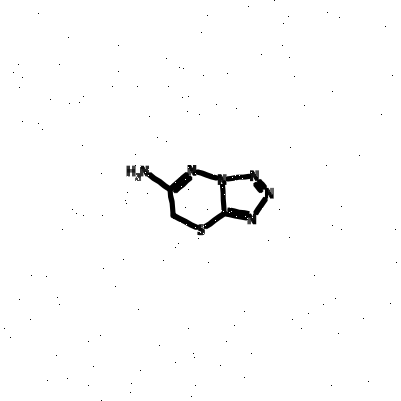 NC1=Nn2nnnc2SC1